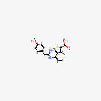 C/C=C1/NC(Cc2ccc(O)cc2)=Nc2sc(C(=O)O)c(C)c21